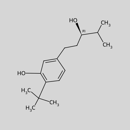 CC(C)[C@H](O)CCc1ccc(C(C)(C)C)c(O)c1